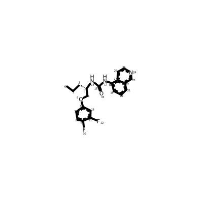 CCC[C@@H](COc1ccc(F)c(F)c1)NC(=O)Nc1cccc2cnccc12